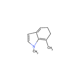 CC1=c2c(ccn2C)=CCC1